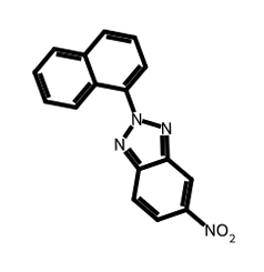 O=[N+]([O-])c1ccc2nn(-c3cccc4ccccc34)nc2c1